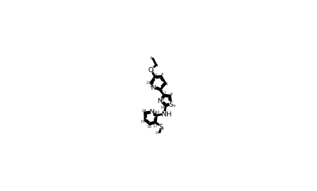 CCOc1ccc(-c2csc(Nc3ncccc3SC)n2)nc1